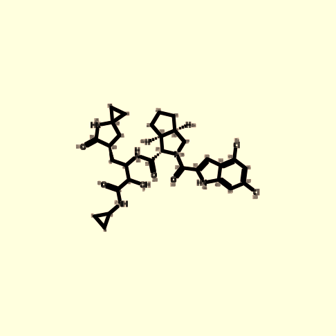 O=C(NC1CC1)C(O)C(C[C@@H]1CC2(CC2)NC1=O)NC(=O)[C@@H]1[C@H]2CCC[C@H]2CN1C(=O)c1cc2c(Cl)cc(Cl)cc2[nH]1